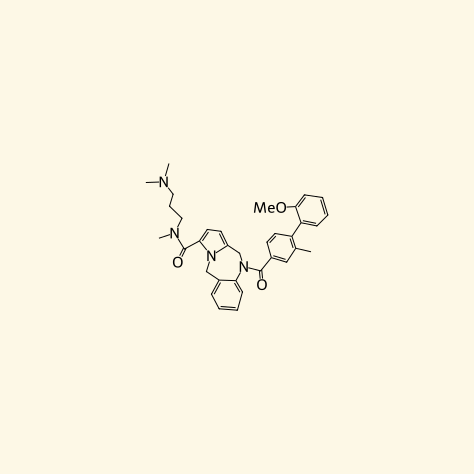 COc1ccccc1-c1ccc(C(=O)N2Cc3ccc(C(=O)N(C)CCCN(C)C)n3Cc3ccccc32)cc1C